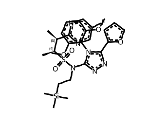 COc1cccc(OC)c1-n1c(-c2ccco2)nnc1N(CC[Si](C)(C)C)S(=O)(=O)[C@@H](C)[C@@H](C)c1ncc(F)cn1